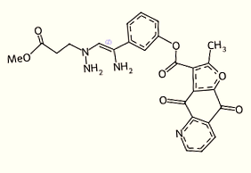 COC(=O)CCN(N)/C=C(\N)c1cccc(OC(=O)c2c(C)oc3c2C(=O)c2ncccc2C3=O)c1